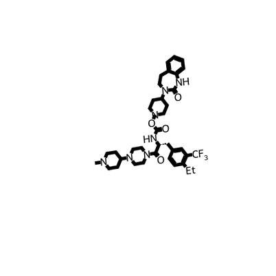 CCc1ccc(C[C@@H](NC(=O)ON2CCC(N3CCc4ccccc4NC3=O)CC2)C(=O)N2CCN(C3CCN(C)CC3)CC2)cc1C(F)(F)F